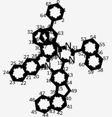 c1ccc(-c2cccc(-c3nc(-c4cc5c(cc4-n4c6cc7ccccc7cc6c6c7ccccc7ccc64)-c4c(ccc6ccccc46)C5)nc(-c4cccc5ccccc45)n3)c2)cc1